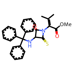 COC(=O)C(=C(C)C)N1C(=O)C(NC(c2ccccc2)(c2ccccc2)c2ccccc2)C1=S